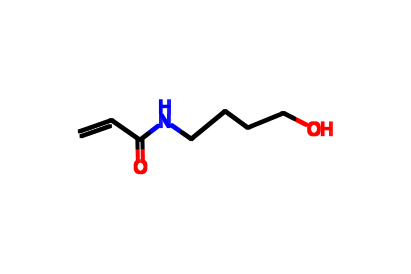 C=CC(=O)NCCCCO